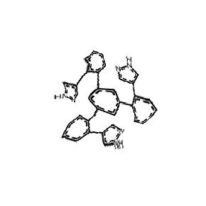 c1ccc(-c2cc(-c3ccccc3-c3cn[nH]c3)cc(-c3ccccc3-c3cn[nH]c3)c2)c(-c2cn[nH]c2)c1